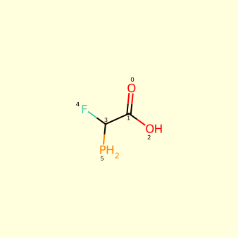 O=C(O)C(F)P